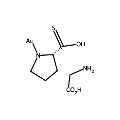 CC(=O)N1CCC[C@H]1C(O)=S.NCC(=O)O